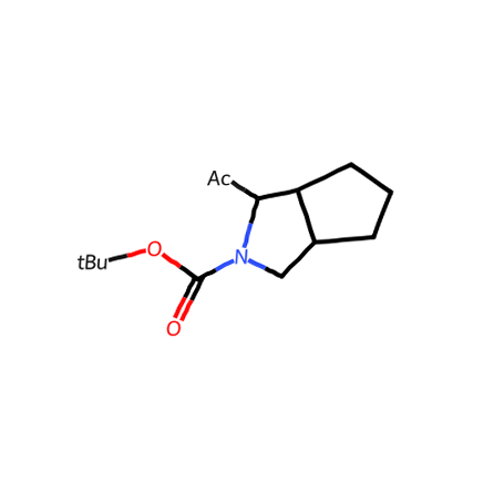 CC(=O)C1C2CCCC2CN1C(=O)OC(C)(C)C